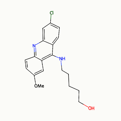 COc1ccc2nc3cc(Cl)ccc3c(NCCCCCO)c2c1